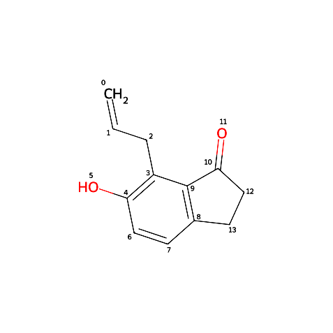 C=CCc1c(O)ccc2c1C(=O)CC2